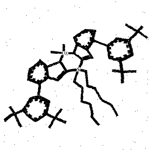 CCCCCC[Si]1(CCCCCC)C2=Cc3c(-c4cc(C(C)(C)C)cc(C(C)(C)C)c4)cccc3[CH]2[Hf]([CH3])([CH3])[CH]2C1=Cc1c(-c3cc(C(C)(C)C)cc(C(C)(C)C)c3)cccc12